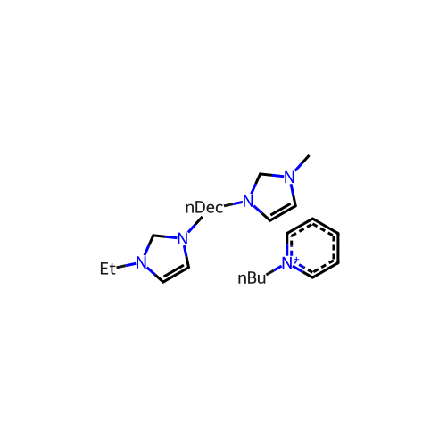 CCCCCCCCCCN1C=CN(C)C1.CCCC[n+]1ccccc1.CCN1C=CN(C)C1